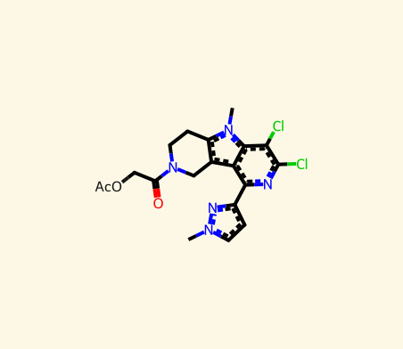 CC(=O)OCC(=O)N1CCc2c(c3c(-c4ccn(C)n4)nc(Cl)c(Cl)c3n2C)C1